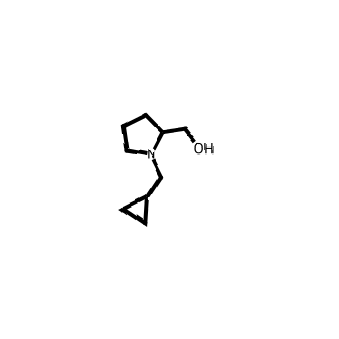 OCC1CCCN1CC1CC1